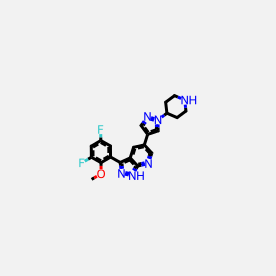 COc1c(F)cc(F)cc1-c1n[nH]c2ncc(-c3cnn(C4CCNCC4)c3)cc12